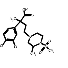 CC1CN(CCC(C)(C(=O)O)c2ccc(Cl)c(Cl)c2)CCN1S(C)(=O)=O